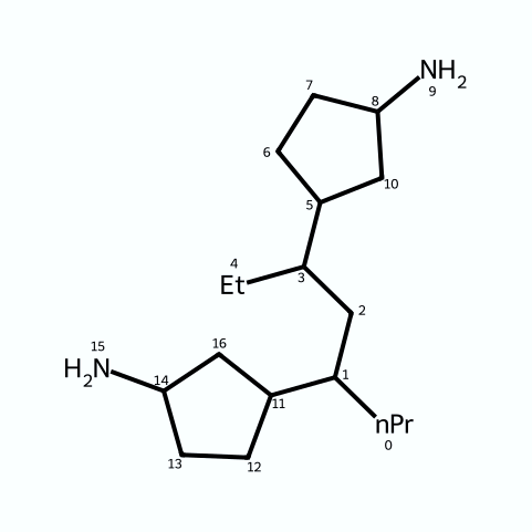 CCCC(CC(CC)C1CCC(N)C1)C1CCC(N)C1